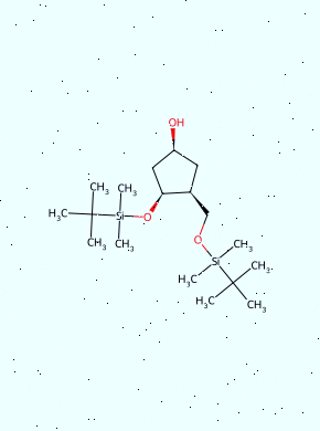 CC(C)(C)[Si](C)(C)OC[C@@H]1C[C@H](O)C[C@@H]1O[Si](C)(C)C(C)(C)C